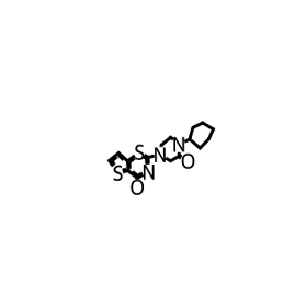 O=C1CN(c2nc(=O)c3sccc3s2)CCN1C1CCCCC1